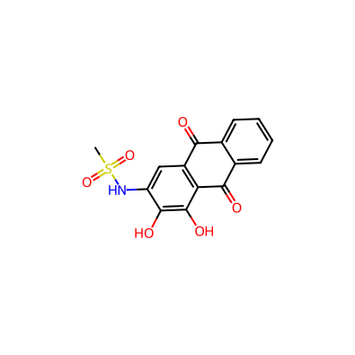 CS(=O)(=O)Nc1cc2c(c(O)c1O)C(=O)c1ccccc1C2=O